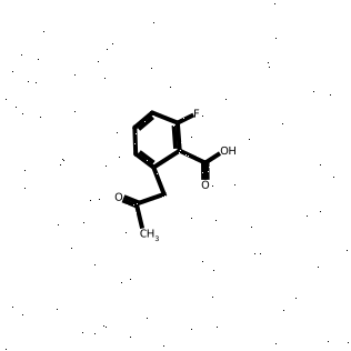 CC(=O)Cc1cccc(F)c1C(=O)O